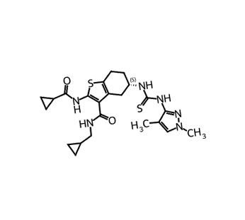 Cc1cn(C)nc1NC(=S)N[C@H]1CCc2sc(NC(=O)C3CC3)c(C(=O)NCC3CC3)c2C1